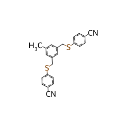 Cc1cc(CSc2ccc(C#N)cc2)cc(CSc2ccc(C#N)cc2)c1